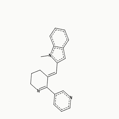 Cn1c(C=C2CCCN=C2c2cccnc2)cc2ccccc21